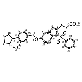 CCOC(=O)CCc1cc2cc(OCc3ccc(C4CCCC4)c(C(F)(F)F)c3)cnc2n1S(=O)(=O)c1ccccc1